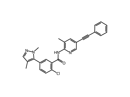 Cc1cc(C#Cc2ccccc2)cnc1NC(=O)c1cc(-c2c(C)cnn2C)ccc1Cl